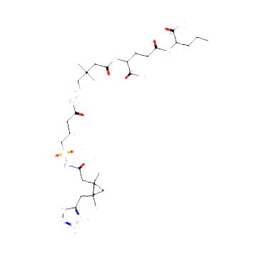 CCCC(NC(=O)CCC(NC(=O)CC(C)(C)CPNC(=O)CCCS(=O)(=O)NC(=O)CC1(C)CC1(C)Cc1nnn[nH]1)C(=O)O)C(=O)O